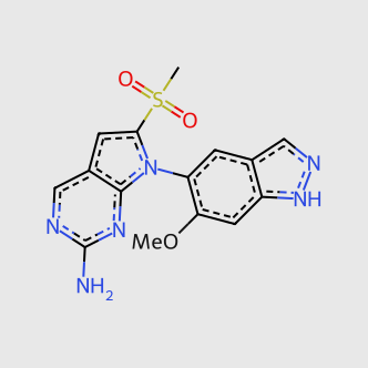 COc1cc2[nH]ncc2cc1-n1c(S(C)(=O)=O)cc2cnc(N)nc21